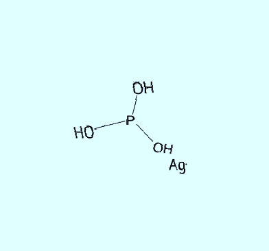 OP(O)O.[Ag]